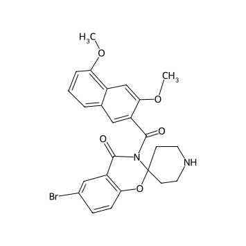 COc1cc2c(OC)cccc2cc1C(=O)N1C(=O)c2cc(Br)ccc2OC12CCNCC2